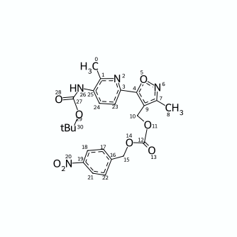 Cc1nc(-c2onc(C)c2COC(=O)OCc2ccc([N+](=O)[O-])cc2)ccc1NC(=O)OC(C)(C)C